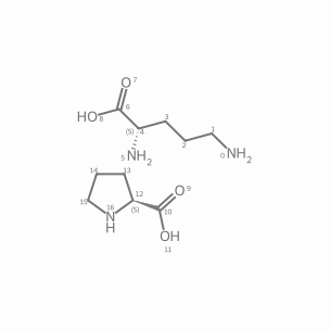 NCCC[C@H](N)C(=O)O.O=C(O)[C@@H]1CCCN1